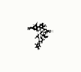 Cc1cc(-c2c(C)cc(C#N)cc2C)cc([C@H](CC(=O)O)NC(=O)[C@H](CC(C)C)n2cc(CCN3CC(C)(F)C3)nc(C)c2=O)c1F